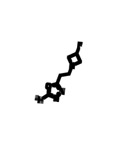 [2H]c1nnc(CCN2CC(F)C2)o1